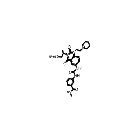 COCC(C)n1c(=O)c2cc(NC(=O)Nc3cccc(C(=O)N(C)C)c3)ccc2n(CCN2CCCCC2)c1=O